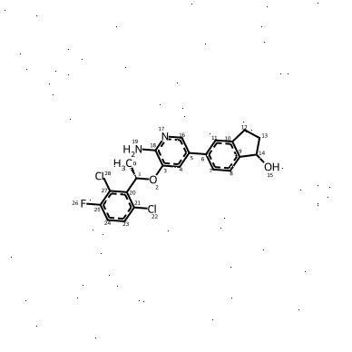 C[C@@H](Oc1cc(-c2ccc3c(c2)CCC3O)cnc1N)c1c(Cl)ccc(F)c1Cl